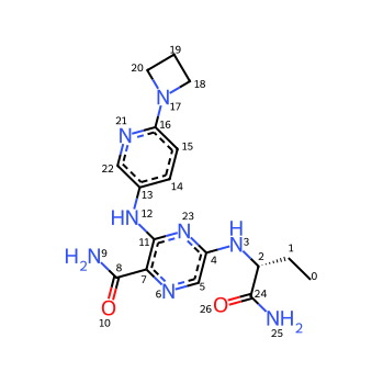 CC[C@@H](Nc1cnc(C(N)=O)c(Nc2ccc(N3CCC3)nc2)n1)C(N)=O